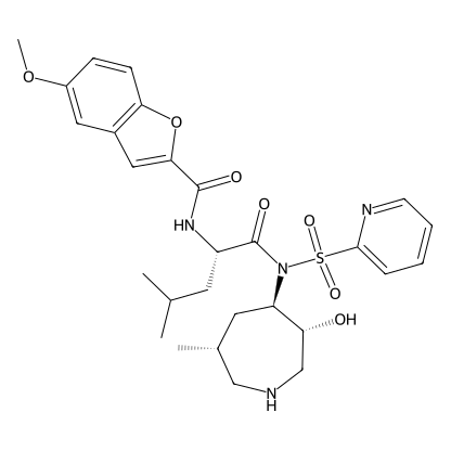 COc1ccc2oc(C(=O)N[C@@H](CC(C)C)C(=O)N([C@@H]3C[C@@H](C)CNC[C@H]3O)S(=O)(=O)c3ccccn3)cc2c1